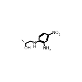 C[C@@H](O)CNc1ccc([N+](=O)[O-])cc1N